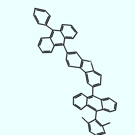 Cc1cccc(C)c1-c1c2ccccc2c(-c2ccc3sc4cc(-c5c6ccccc6c(-c6ccccc6)c6ccccc56)ccc4c3c2)c2ccccc12